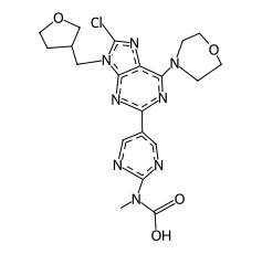 CN(C(=O)O)c1ncc(-c2nc(N3CCOCC3)c3nc(Cl)n(CC4CCOC4)c3n2)cn1